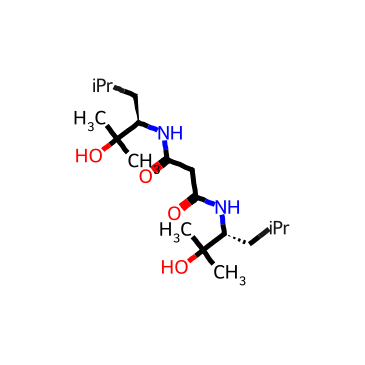 CC(C)C[C@@H](NC(=O)CC(=O)N[C@H](CC(C)C)C(C)(C)O)C(C)(C)O